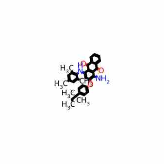 CCC(C)(C)c1ccc(Oc2cc(Nc3c(C)cc(C)cc3C)c3c(c2N)C(=O)c2ccccc2C3=O)cc1